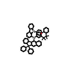 CC1(C)c2ccccc2-c2ccc(N(c3c4c(cc5ccccc35)C(c3ccccc3)(c3ccccc3)c3ccccc3-4)c3cccc4c5ccccc5n(-c5ccccc5)c34)cc2C1(C)C